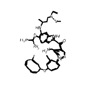 CCN(CCC(C)Nc1cc2[nH]c(C(=O)c3cnn(C4=CC=CC(OC5C=CC=CC(F)=C5)C=C4C)c3N)cc2cc1OC(P)P)SC